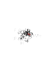 COc1ccc(-c2cc(C(NC(=O)OC(C)(C)C)C(=O)OC(C)(C)C)ccc2F)cc1C(=O)N[C@H]1[C@@H](C(=O)Nc2ccc(F)c(C(F)(F)F)c2)[C@H]2CC[C@@H]1/C2=C\C1CC1